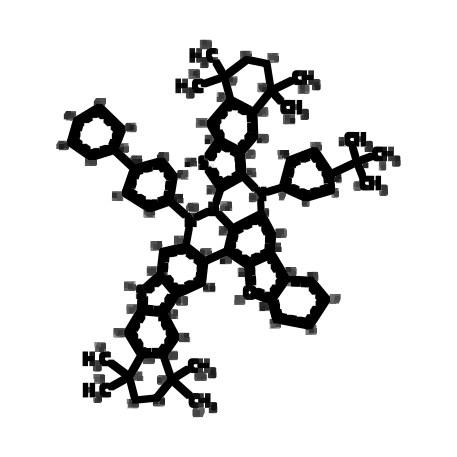 CC(C)(C)c1ccc(N2c3cc4c(oc5ccccc54)c4c3B(c3sc5cc6c(cc5c32)C(C)(C)CCC6(C)C)N(c2ccc(-c3ccccc3)cc2)c2cc3sc5cc6c(cc5c3cc2-4)C(C)(C)CCC6(C)C)cc1